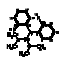 CC(C)N(C(C)C)C(c1ccccc1F)c1ccccc1F